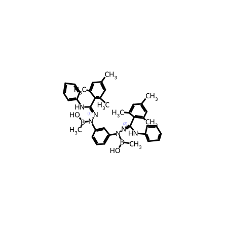 CB(O)N(/N=C(\Nc1ccccc1)c1c(C)cc(C)cc1C)c1cccc(N(/N=C(\Nc2ccccc2)c2c(C)cc(C)cc2C)B(C)O)c1